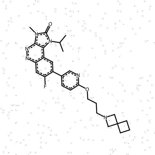 CC(C)n1c(=O)n(C)c2nnc3cc(F)c(-c4ccc(OCCCN5CC6(CCC6)C5)nc4)cc3c21